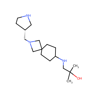 CC(C)(O)CNC1CCC2(CC1)CN(C[C@@H]1CCNC1)C2